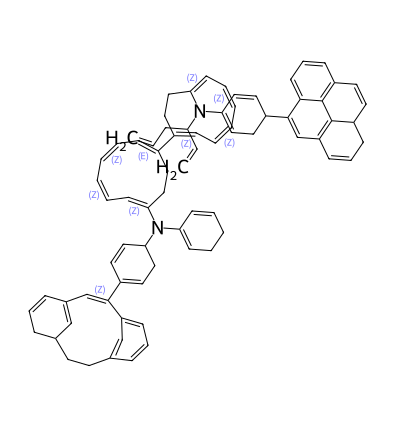 C=CCC(C=C)N(C1=CCC(c2cc3c4c5c(cccc25)C=CC4CC=C3)C=C1)\C1=C/C=C\C=C/C=C(\C2=C\C=C/C=C\C=C(/N(C3=CCCC=C3)C3C=CC(/C4=C/C5=CC(CC=C5)CCc5cccc4c5)=CC3)CC2)CC1